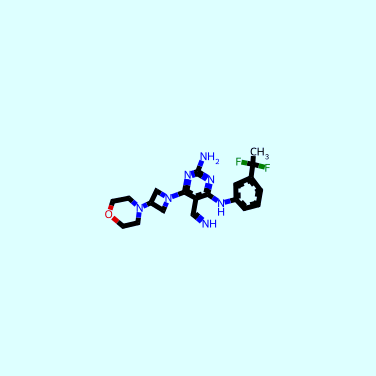 CC(F)(F)c1cccc(Nc2nc(N)nc(N3CC(N4CCOCC4)C3)c2C=N)c1